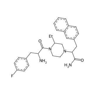 CCC1CN(C(Cc2ccc3ccccc3c2)C(N)=O)CCN1C(=O)C(N)Cc1ccc(F)cc1